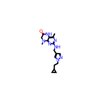 Cc1nc(NCc2cnn(CCC3CC3)c2)nc2c1NC(=O)CN2C